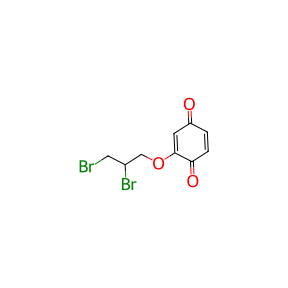 O=C1C=CC(=O)C(OCC(Br)CBr)=C1